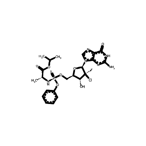 CC(C)OC(=O)[C@@H](C)N[P@@](=S)(OC[C@H]1O[C@@H](n2cnc3c(=O)[nH]c(N)nc32)[C@@](F)(Cl)[C@@H]1O)Oc1ccccc1